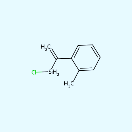 C=C([SiH2]Cl)c1ccccc1C